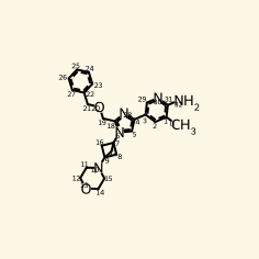 Cc1cc(-c2cn(C34CC(N5CCOCC5)(C3)C4)c(COCc3ccccc3)n2)cnc1N